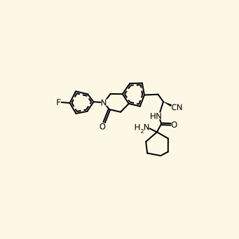 N#C[C@H](Cc1ccc2c(c1)CC(=O)N(c1ccc(F)cc1)C2)NC(=O)C1(N)CCCCC1